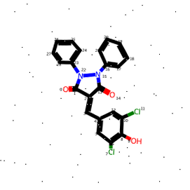 O=C1C(=Cc2cc(Cl)c(O)c(Cl)c2)C(=O)N(c2ccccc2)N1c1ccccc1